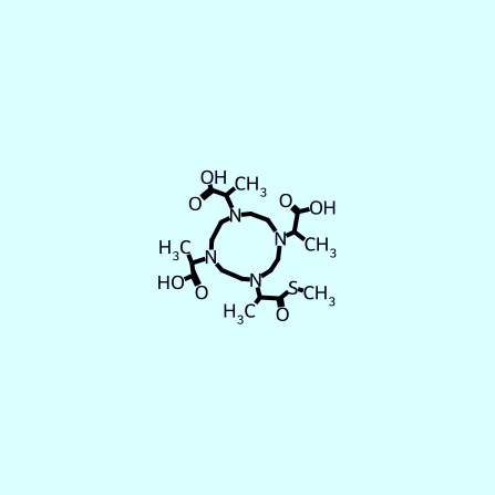 CSC(=O)C(C)N1CCN(C(C)C(=O)O)CCN(C(C)C(=O)O)CCN(C(C)C(=O)O)CC1